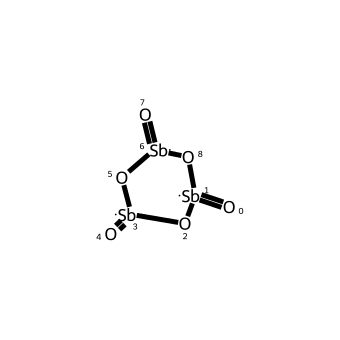 [O]=[Sb]1[O][Sb](=[O])[O][Sb](=[O])[O]1